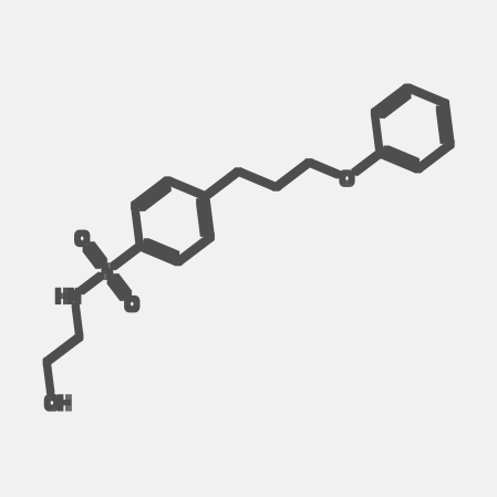 O=S(=O)(NCCO)c1ccc(CCCOc2ccccc2)cc1